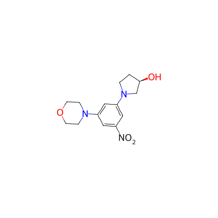 O=[N+]([O-])c1cc(N2CCOCC2)cc(N2CC[C@@H](O)C2)c1